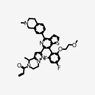 C=CC(=O)N1CCn2nc(-c3nc(-c4ccc5c(c4)CN(C)CC5)c4ccsc4c3-c3c(F)cc(F)cc3OCCOC)cc2C1C